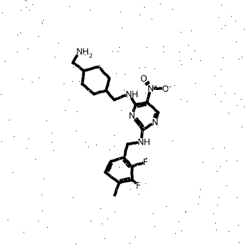 Cc1ccc(CNc2ncc([N+](=O)[O-])c(NCC3CCC(CN)CC3)n2)c(F)c1F